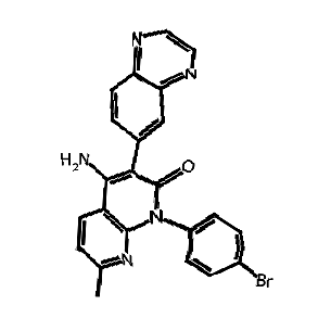 Cc1ccc2c(N)c(-c3ccc4nccnc4c3)c(=O)n(-c3ccc(Br)cc3)c2n1